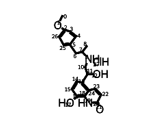 COc1ccc(CC(C)NCC(O)c2ccc(O)c3[nH]c(=O)ccc23)cc1.Cl